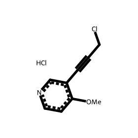 COc1ccncc1C#CCCl.Cl